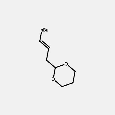 CCCCC=CCC1OCCCO1